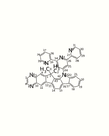 CC1(C)c2cc3nccnc3cc2-c2ccc3c4ccccc4n(-c4cc(-c5ccccn5)nc(-c5ccccn5)c4)c3c21